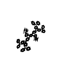 c1ccc(N(c2ccccc2)c2ccc3c(c2)c2cc(N(c4ccccc4)c4ccccc4)ccc2n3-c2ccc(-c3cc(-c4cccc(-c5ncncn5)c4)c(-c4ccc(-n5c6ccc(N(c7ccccc7)c7ccccc7)cc6c6cc(N(c7ccccc7)c7ccccc7)ccc65)cc4)cc3-c3cccc(-c4ncncn4)c3)cc2)cc1